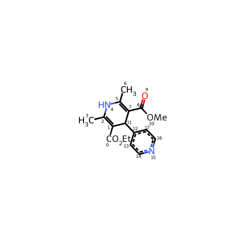 CCOC(=O)C1=C(C)NC(C)=C(C(=O)OC)C1c1ccncc1